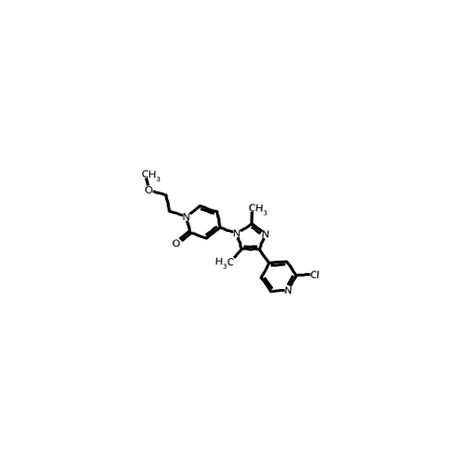 COCCn1ccc(-n2c(C)nc(-c3ccnc(Cl)c3)c2C)cc1=O